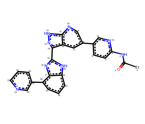 CCC(=O)Nc1ccc(-c2cnc3[nH]nc(-c4nc5c(-c6cccnc6)cccc5[nH]4)c3c2)cn1